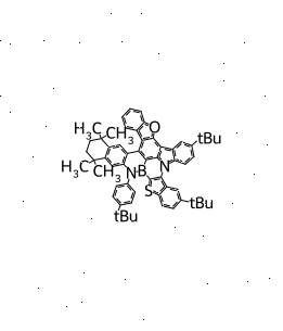 CC(C)(C)c1ccc(N2B3c4sc5ccc(C(C)(C)C)cc5c4-n4c5ccc(C(C)(C)C)cc5c5c6oc7ccccc7c6c(c3c54)-c3cc4c(cc32)C(C)(C)CCC4(C)C)cc1